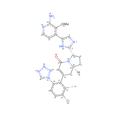 COc1c(-c2cnc([C@@H]3CC[C@H]4CC(c5c(-n6cnnn6)ccc(Cl)c5F)=CC(=O)N43)[nH]2)ccnc1N